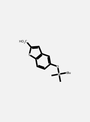 CC(C)(C)[Si](C)(C)Oc1ccc2sc(C(=O)O)cc2c1